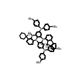 CCN1c2cc(N(c3ccc(C(C)(C)C)cc3)c3ccc(C(C)(C)C)cc3)cc3c2B(c2ccc(N(c4ccc(C(C)(C)C)cc4)c4ccc(C(C)(C)C)cc4)cc2N3c2cccc3c2C(C)(C)c2ccccc2-3)c2cccc(C3(C)CCCCC3)c21